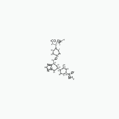 CC#C[C@@H](CC(=O)OCC)c1ccc(OCc2cc(-c3ccc([S+](N)[O-])cc3C)cn3ncnc23)cc1